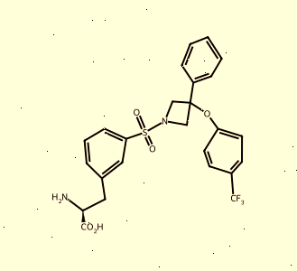 N[C@@H](Cc1cccc(S(=O)(=O)N2CC(Oc3ccc(C(F)(F)F)cc3)(c3ccccc3)C2)c1)C(=O)O